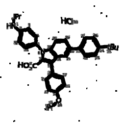 CC(C)Nc1ccc(-n2c(C(=O)O)c(-c3ccc(OC(C)C)cc3)c3cc(-c4ccc(C(C)(C)C)cc4)ccc32)cc1.Cl